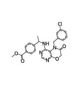 COC(=O)c1ccc(C(C)Nc2ncnc3c2N(Cc2cccc(Cl)c2)C(=O)CO3)cc1